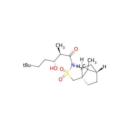 C[C@@H](C(=O)N1[C@H]2C[C@@H]3CC[C@@]2(CS1(=O)=O)C3(C)C)[C@H](O)CCC(C)(C)C